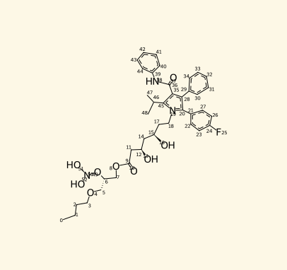 CCCCOC[C@@H](COC(=O)C[C@H](O)C[C@H](O)CCn1c(-c2ccc(F)cc2)c(-c2ccccc2)c(C(=O)Nc2ccccc2)c1C(C)C)ON(O)O